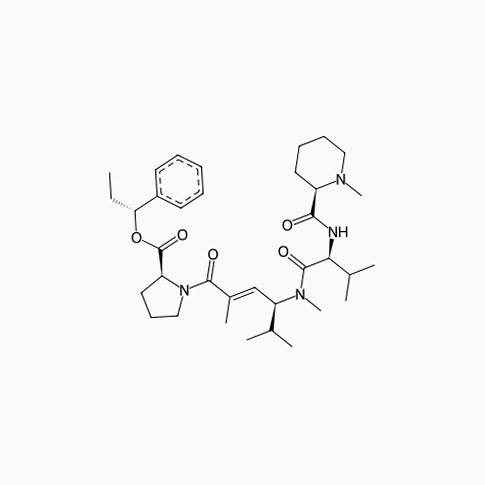 CC[C@@H](OC(=O)[C@@H]1CCCN1C(=O)/C(C)=C/[C@H](C(C)C)N(C)C(=O)[C@@H](NC(=O)[C@H]1CCCCN1C)C(C)C)c1ccccc1